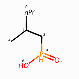 CCCC(C)C[PH](=O)O